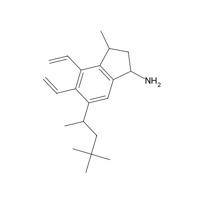 C=Cc1c(C(C)CC(C)(C)C)cc2c(c1C=C)C(C)CC2N